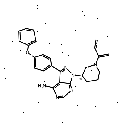 C=CC(=C)N1CCC[C@@H](n2nc(-c3ccc(Oc4ccccc4)cc3)c3c(N)ncnc32)C1